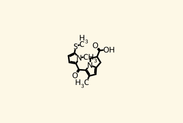 CSc1ccc(C(=O)c2c(C)cc3n2CC(C(=O)O)C3)n1C